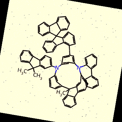 CC1(C)c2ccccc2-c2ccc(N3c4cc(-c5cccc6c5-c5ccccc5C65c6ccccc6-c6ccccc65)cc(c4)N(c4ccccc4-c4ccccc4)c4ccc5c(c4)C(C)(c4cccc3c4)c3ccccc3-5)cc21